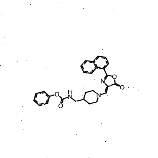 O=C(NCC1CCN(C=C2N=C(c3cccc4ccccc34)OC2=O)CC1)Oc1ccccc1